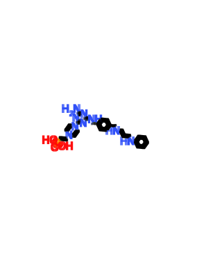 Nc1nc(NC[C@H]2CC[C@H](CNCCCNC3CCCCC3)CC2)nc(N2CCN(CCP(=O)(O)O)CC2)n1